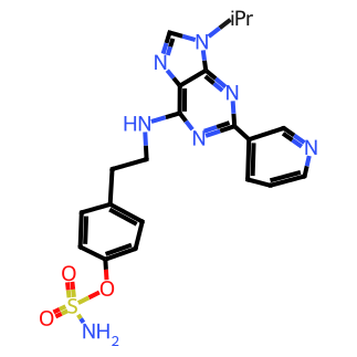 CC(C)n1cnc2c(NCCc3ccc(OS(N)(=O)=O)cc3)nc(-c3cccnc3)nc21